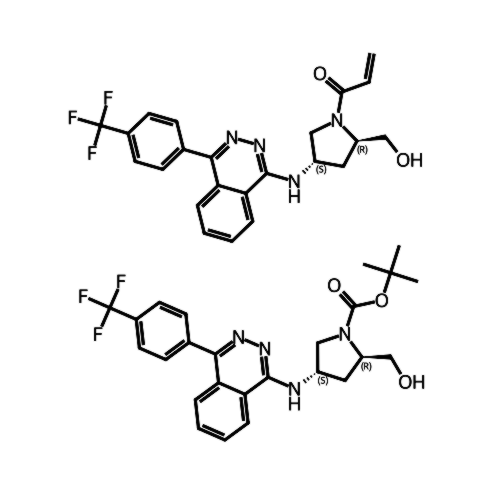 C=CC(=O)N1C[C@@H](Nc2nnc(-c3ccc(C(F)(F)F)cc3)c3ccccc23)C[C@@H]1CO.CC(C)(C)OC(=O)N1C[C@@H](Nc2nnc(-c3ccc(C(F)(F)F)cc3)c3ccccc23)C[C@@H]1CO